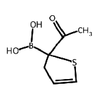 CC(=O)C1(B(O)O)CC=CS1